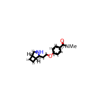 CNC(=O)c1ccc(OCCC2NC[C@H]3CC[C@@H]23)cc1